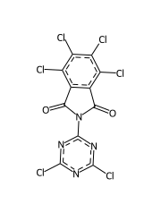 O=C1c2c(Cl)c(Cl)c(Cl)c(Cl)c2C(=O)N1c1nc(Cl)nc(Cl)n1